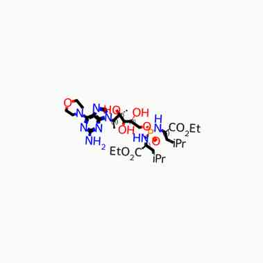 CCOC(=O)[C@H](CC(C)C)NP(=O)(N[C@@H](CC(C)C)C(=O)OCC)OC[C@@H](O)C(O)[C@](C)(O)[C@@H](C)n1cnc2c(N3CCOCC3)nc(N)nc21